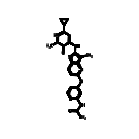 CNC(=O)/C(=C\C(=N)C1CC1)Nc1nc2ccc(Oc3ccnc(NC(C)=O)c3)nc2n1C